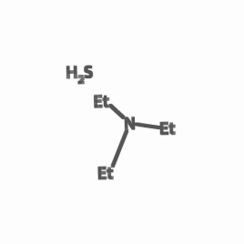 CCN(CC)CC.S